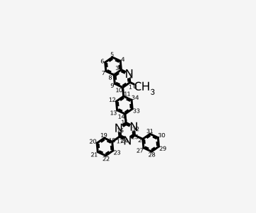 Cc1nc2ccccc2cc1-c1ccc(-c2nc(-c3ccccc3)nc(-c3ccccc3)n2)cc1